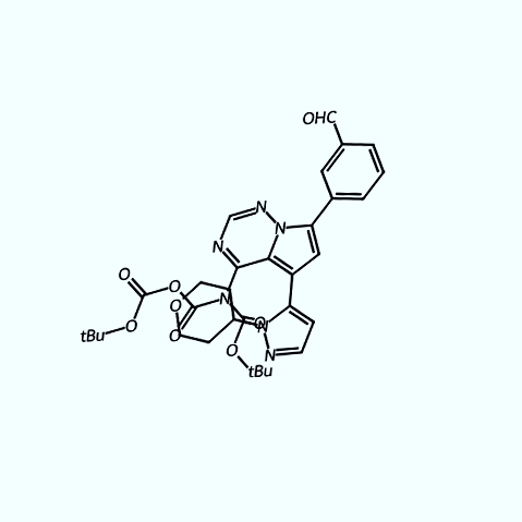 CC(C)(C)OC(=O)OC(=O)N(C(=O)OC(C)(C)C)c1ncnn2c(-c3cccc(C=O)c3)cc(-c3ccnn3C3CCOCC3)c12